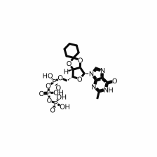 Cc1nc2c(ncn2[C@@H]2O[C@H](COP(=O)(O)OP(=O)(O)OP(=O)(O)O)[C@@H]3OC4(CCCCC4)OC32)c(=O)[nH]1